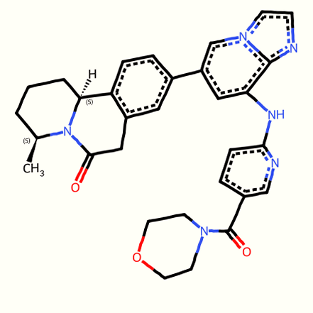 C[C@H]1CCC[C@H]2c3ccc(-c4cc(Nc5ccc(C(=O)N6CCOCC6)cn5)c5nccn5c4)cc3CC(=O)N12